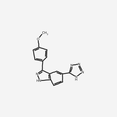 COc1ccc(-c2n[nH]c3ccc(-c4nnn[nH]4)cc23)cc1